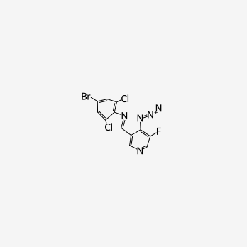 [N-]=[N+]=Nc1c(F)cncc1/C=N/c1c(Cl)cc(Br)cc1Cl